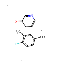 O=C1C=NC=CC1.O=Cc1ccc(F)c(C(F)(F)F)c1